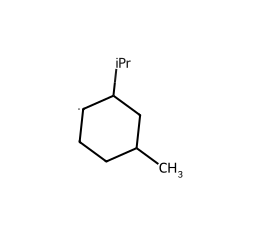 CC1CC[CH]C(C(C)C)C1